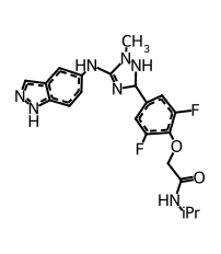 CC(C)NC(=O)COc1c(F)cc(C2N=C(Nc3ccc4[nH]ncc4c3)N(C)N2)cc1F